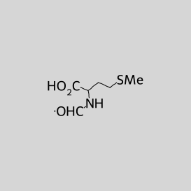 CSCCC(N[C]=O)C(=O)O